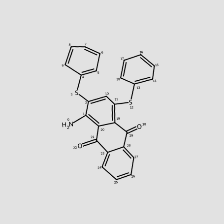 Nc1c(Sc2ccccc2)cc(Sc2ccccc2)c2c1C(=O)c1ccccc1C2=O